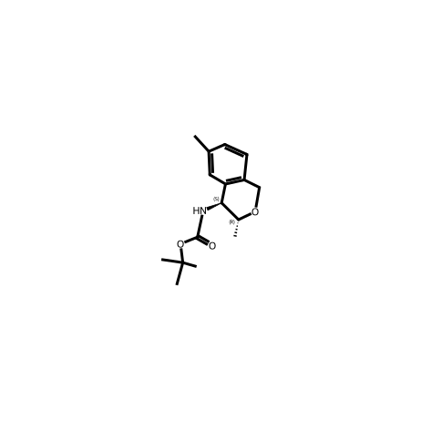 Cc1ccc2c(c1)[C@H](NC(=O)OC(C)(C)C)[C@@H](C)OC2